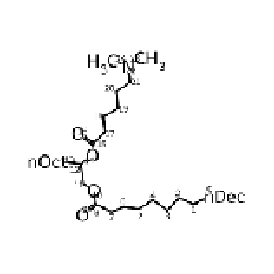 CCCCCCCCCCCCCCCCCC(=O)OCC(CCCCCCCC)OC(=O)CCCCCN(C)C